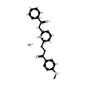 COc1ccc(C(=O)CCc2cccc(CC(=O)c3ccccc3)n2)cc1.I